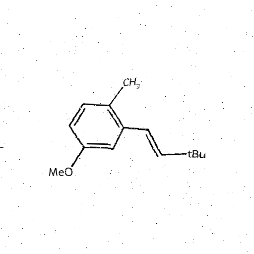 COc1ccc(C)c(/C=C/C(C)(C)C)c1